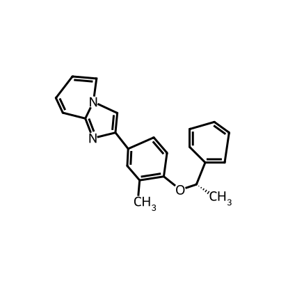 Cc1cc(-c2cn3ccccc3n2)ccc1O[C@@H](C)c1ccccc1